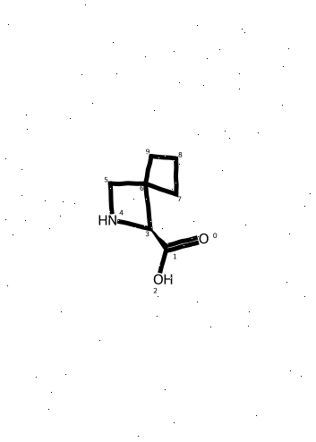 O=C(O)[C@H]1NCC12CCC2